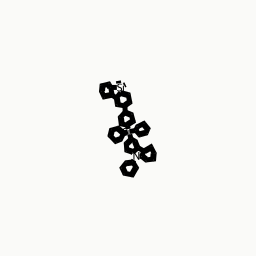 C[Si]1(C)c2ccccc2-c2cc(-c3ccc([Si](c4ccccc4)(c4ccc5c(c4)c4ccccc4n5-c4ccccc4)C4C=CC=CC4)cc3)ccc21